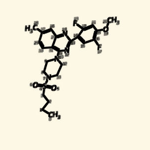 CCCCS(=O)(=O)N1CCN(c2nc(-c3cc(F)c(OC)cc3F)nc3cc(C)ccc23)CC1